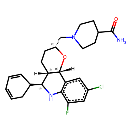 NC(=O)C1CCN(C[C@H]2CC[C@@H]3[C@H](O2)c2cc(Cl)cc(F)c2N[C@H]3C2C=CC=CC2)CC1